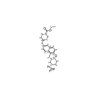 CCOC(=O)C1CCN(Cc2ccc3c(I)c(O[C@H]4CC[C@@H](C(F)(F)F)CC4)ccc3c2)CC1